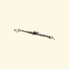 CCCCCCCCCCCCCCCCCCOCCCCCCCCCCCCCCCCCC.CO